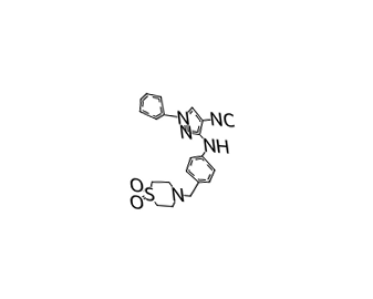 [C-]#[N+]c1cn(-c2ccccc2)nc1Nc1ccc(CN2CCS(=O)(=O)CC2)cc1